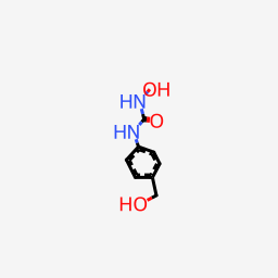 O=C(NO)Nc1ccc(CO)cc1